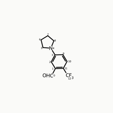 O=Cc1cc(N2CCCC2)ccc1C(F)(F)F